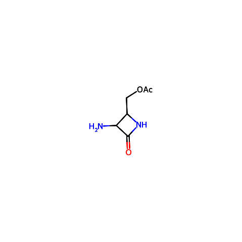 CC(=O)OCC1NC(=O)C1N